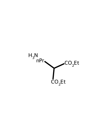 CCCC(C(=O)OCC)C(=O)OCC.N